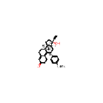 C#C[C@]1(O)CC[C@H]2[C@@H]3CCC4=CC(=O)CCC4=C3[C@@H](c3ccc(OC)cc3)C[C@@]21C